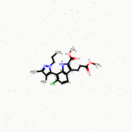 CCCn1nc(C)c(C)c1-c1c(Cl)ccc2c(CCC(=O)OC)c(C(=O)OC)[nH]c12